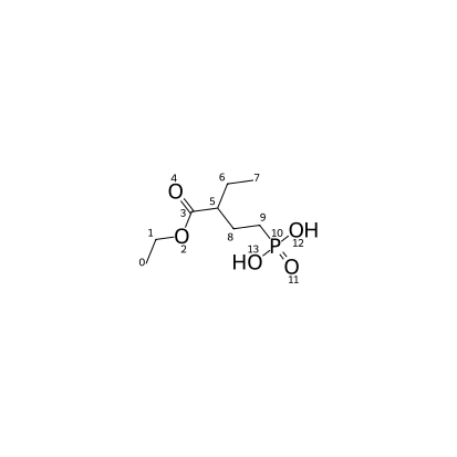 CCOC(=O)C(CC)CCP(=O)(O)O